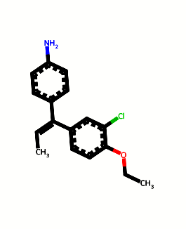 C/C=C(/c1ccc(N)cc1)c1ccc(OCC)c(Cl)c1